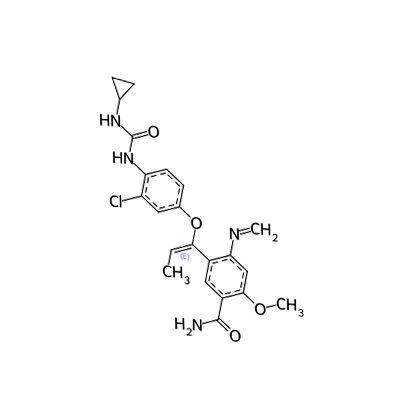 C=Nc1cc(OC)c(C(N)=O)cc1/C(=C\C)Oc1ccc(NC(=O)NC2CC2)c(Cl)c1